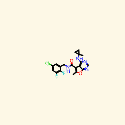 Cc1oc2ncnc(NC3(C)CC3)c2c1C(=O)NCc1cc(Cl)cc(F)c1F